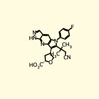 CC(C)(CC#N)c1c([C@H]2CO[C@H](C(=O)O)C2)c2nc3[nH]ncc3cc2n1-c1ccc(F)cc1